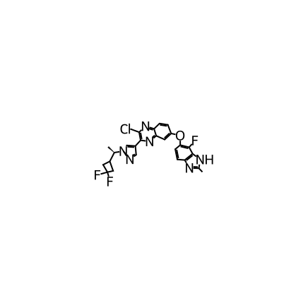 Cc1nc2ccc(Oc3ccc4nc(Cl)c(-c5cnn([C@H](C)C6CC(F)(F)C6)c5)nc4c3)c(F)c2[nH]1